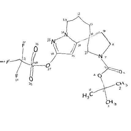 CC(C)(C)OC(=O)N1CC[C@]2(CCCn3nc(OS(=O)(=O)C(F)(F)F)cc32)C1